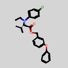 CCN(c1ccc(Cl)cc1)[C@H](C(=O)OCc1cccc(Oc2ccccc2)c1)C(C)C